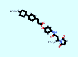 CCCCCC1CCC(c2ccc(/C=C/C(=O)Oc3ccc(NC(=O)CC(C(=O)O)N4C(=O)C=CC4=O)cc3)cc2)CC1